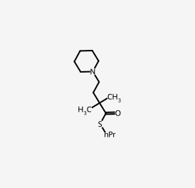 CCCSC(=O)C(C)(C)CCN1CCCCC1